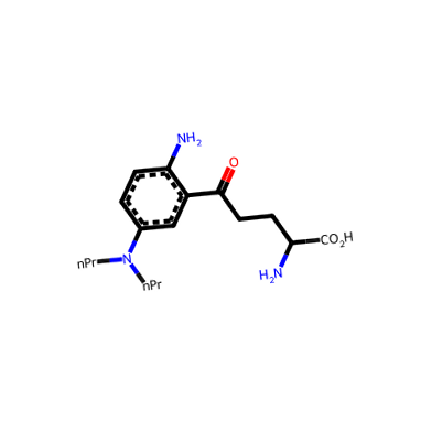 CCCN(CCC)c1ccc(N)c(C(=O)CCC(N)C(=O)O)c1